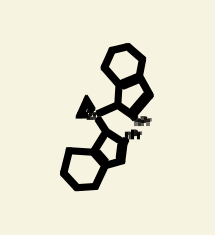 CCCC1=CC2=C(CCCC2)[CH]1[Zr]1([CH]2C(CCC)=CC3=C2CCCC3)[CH2][CH2]1